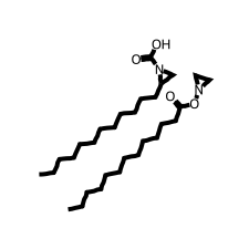 CCCCCCCCCCCCC(=O)ON1CC1.CCCCCCCCCCCCC1CN1C(=O)O